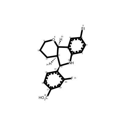 CCc1ccc2c(c1)[C@@H]1OCCC[C@@H]1[C@H](c1ccc(C(=O)O)cc1F)N2